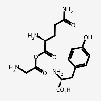 NCC(=O)OC(=O)[C@@H](N)CCC(N)=O.N[C@@H](Cc1ccc(O)cc1)C(=O)O